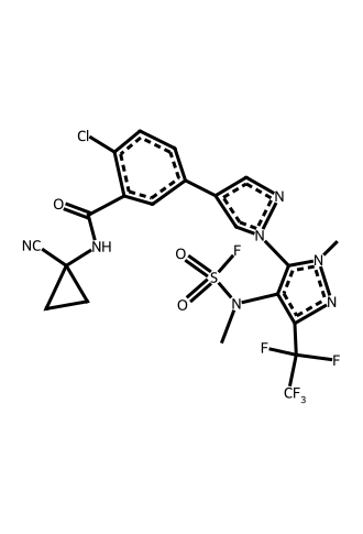 CN(c1c(C(F)(F)C(F)(F)F)nn(C)c1-n1cc(-c2ccc(Cl)c(C(=O)NC3(C#N)CC3)c2)cn1)S(=O)(=O)F